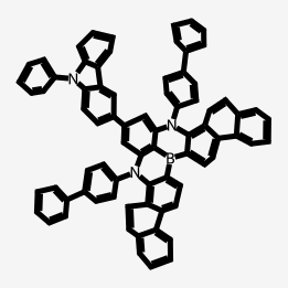 c1ccc(-c2ccc(N3c4cc(-c5ccc6c(c5)c5ccccc5n6-c5ccccc5)cc5c4B(c4ccc6c(ccc7ccccc76)c43)c3ccc4c(ccc6ccccc64)c3N5c3ccc(-c4ccccc4)cc3)cc2)cc1